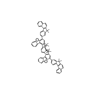 CC1(C)c2cc(-c3cc4c(c5c3oc3ccccc35)-c3ccc5c(c3[Si]4(C)C)[Si](C)(C)c3cc(-c4ccc6c(c4)C(C)(C)c4ccc7ccccc7c4-6)c4oc6ccccc6c4c3-5)ccc2-c2c1ccc1ccccc21